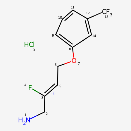 Cl.NC/C(F)=C/COc1cccc(C(F)(F)F)c1